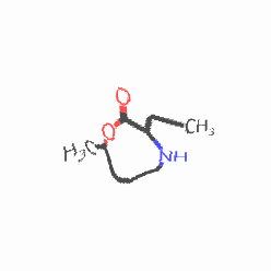 CCC1NCCCC(C)OC1=O